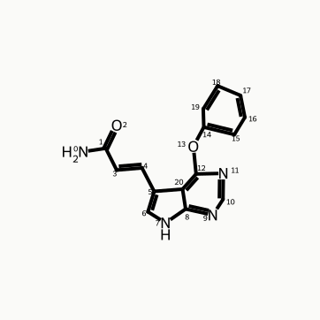 NC(=O)C=Cc1c[nH]c2ncnc(Oc3ccccc3)c12